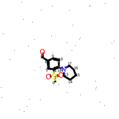 CS(=O)(=O)c1cc(C=O)ccc1N1CCCCC1